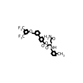 Cc1cccc(CN[C@@H](CCC(N)=O)C(=O)OC(=O)c2ccc(-c3cccc(COc4cc(C(F)(F)F)cc(C(F)(F)F)c4)c3)cc2)c1